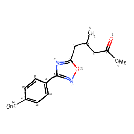 COC(=O)CC(C)Cc1nc(-c2ccc(C=O)cc2)no1